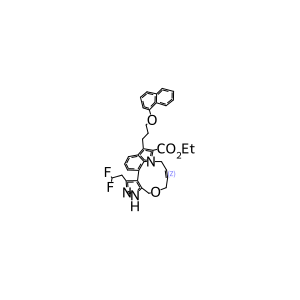 CCOC(=O)c1c(CCCOc2cccc3ccccc23)c2cccc3c2n1C/C=C\COCc1[nH]nc(CC(F)F)c1-3